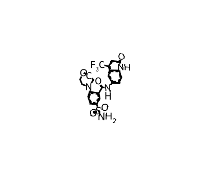 NS(=O)(=O)c1ccc(N2CCOCC2)c(C(=O)Nc2ccc3[nH]c(=O)cc(C(F)(F)F)c3c2)c1